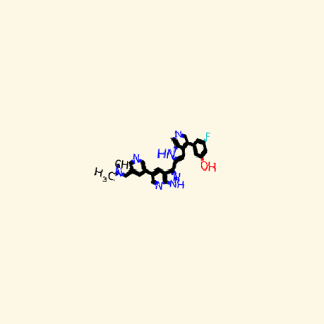 CN(C)Cc1cncc(-c2cnc3[nH]nc(-c4cc5c(-c6cc(O)cc(F)c6)cncc5[nH]4)c3c2)c1